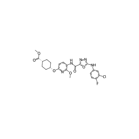 COc1nc(O[C@H]2CC[C@@H](C(=O)OC)CC2)ccc1NC(=O)c1nnc(Nc2ccc(F)c(Cl)c2)o1